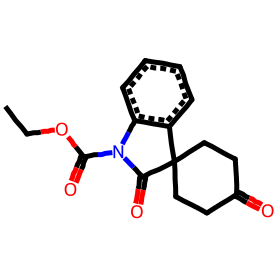 CCOC(=O)N1C(=O)C2(CCC(=O)CC2)c2ccccc21